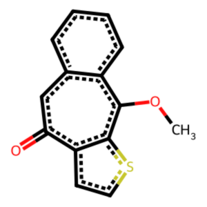 COc1c2ccccc2cc(=O)c2ccsc12